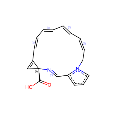 O=C(O)[C@@]12C=C1\C=C/C=C/C=C/C=C\Cn1cccc1/C=N/2